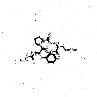 COC(=O)[C@H](CCSC)N[Se]C(=O)[C@@H]1CCCN1C(=O)[C@H](Cc1ccccc1)NC(=O)OC(C)(C)C